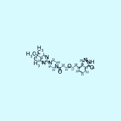 CC(C)(C)c1cnc(N2CCN(C(=O)CCOCCc3cccc4c(=O)[nH]ncc34)CC2)nc1